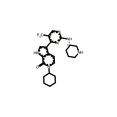 O=c1c2[nH]cc(-c3nc(N[C@H]4CCCNC4)ncc3C(F)(F)F)c2ccn1C1CCCCC1